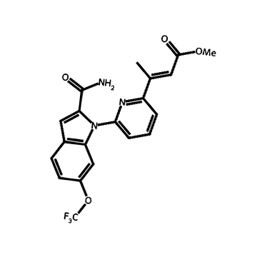 COC(=O)/C=C(\C)c1cccc(-n2c(C(N)=O)cc3ccc(OC(F)(F)F)cc32)n1